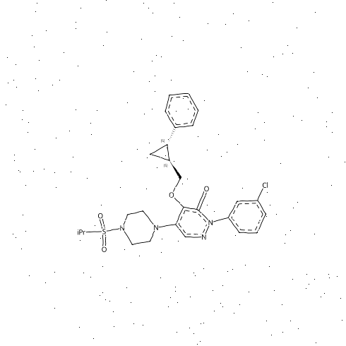 CC(C)S(=O)(=O)N1CCN(c2cnn(-c3cccc(Cl)c3)c(=O)c2OC[C@H]2C[C@@H]2c2ccccc2)CC1